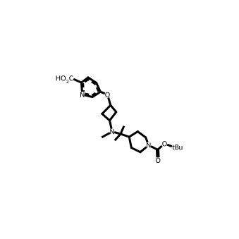 CN(C1CC(Oc2ccc(C(=O)O)nc2)C1)C(C)(C)C1CCN(C(=O)OC(C)(C)C)CC1